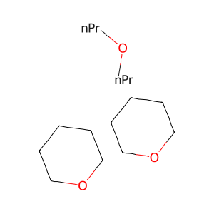 C1CCOCC1.C1CCOCC1.CCCOCCC